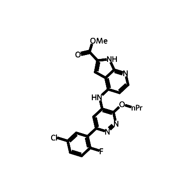 CCCOc1nnc(-c2cc(Cl)ccc2F)cc1Nc1ccnc2[nH]c(C(=O)OC)cc12